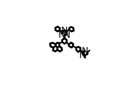 Cc1cc(C)nc(-c2ccc(-c3ccc(-c4cc(-c5nc(-c6ccccc6)nc(-c6ccccc6)n5)cc(-c5cc6cccc7ccc8cccc5c8c76)c4)cc3)cc2)n1